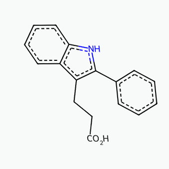 O=C(O)CCc1c(-c2ccccc2)[nH]c2ccccc12